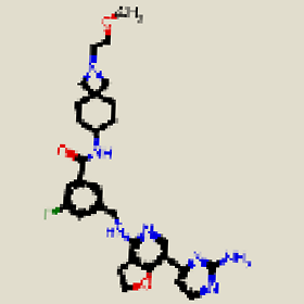 COCCN1CC2(CCC(NC(=O)c3cc(F)cc(CNc4ncc(-c5ccnc(N)n5)c5c4CCO5)c3)CC2)C1